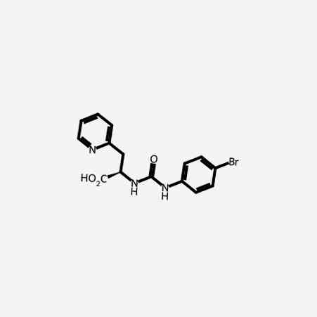 O=C(Nc1ccc(Br)cc1)N[C@H](Cc1ccccn1)C(=O)O